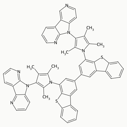 Cc1c(-n2c3ccncc3c3cccnc32)c(C)n(-c2cc(-c3cc(-n4c(C)c(C)c(-n5c6cccnc6c6cccnc65)c4C)c4sc5ccccc5c4c3)cc3c2sc2ccccc23)c1C